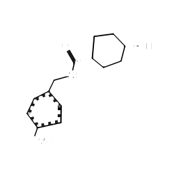 COc1ccc(CNC(=O)[C@H]2CC[C@@H](O)CC2)cc1